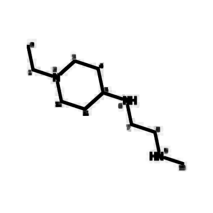 CCN1CCC(NCCNC)CC1